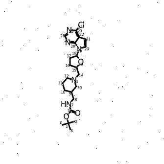 CC(C)(C)OC(=O)NCC1CCCN(CC2CCC(n3ccc4c(Cl)ncnc43)O2)C1